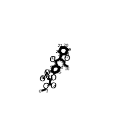 CCOC(=O)C(Oc1ccc(C(=O)c2c(CC)oc3ccccc23)cc1)[N+](=O)[O-]